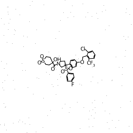 O=C(N1CC[C@](c2ccc(OCc3c(Cl)cccc3C(F)(F)F)cc2)(S(=O)(=O)c2ccc(F)cc2)C1)C1(O)CCS(=O)(=O)CC1